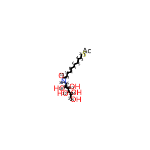 CC(=O)SCCCCCCCCCCC(=O)N(C)C[C@@H](O)C(O)C(O)C(O)CO